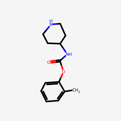 Cc1ccccc1OC(=O)NC1CCNCC1